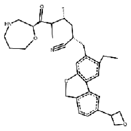 CCc1cc2c(cc1C[C@H](C#N)C[C@@H](C)C(C)C(=O)[C@@H]1CNCCCO1)OCc1ccc(C3COC3)cc1-2